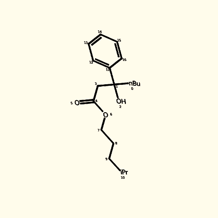 CCCCC(O)(CC(=O)OCCCC(C)C)c1ccccc1